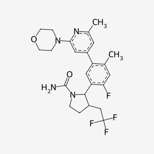 Cc1cc(-c2cc(C3C(CC(F)(F)F)CCN3C(N)=O)c(F)cc2C)cc(N2CCOCC2)n1